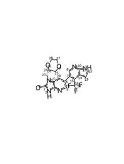 O=c1[nH]c2ncc(-c3cnc4[nH]ccc4c3C(F)(F)F)cc2n1C[C@H]1COCCO1